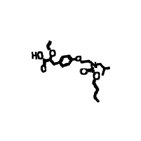 CCCCOC(=O)N(CCOc1ccc(CC(OCC)C(=O)O)cc1)CC(C)C